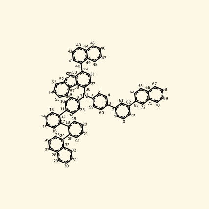 c1cc(-c2ccc(N(c3ccc(-c4ccccc4-c4ccccc4-c4cccc5ccccc45)cc3)c3ccc(-c4cccc5ccccc45)c4sc5ccccc5c34)cc2)cc(-c2ccc3ccccc3c2)c1